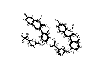 Cc1cc2c(cn1)cc(-c1cc(Nc3nnc(C(C)(C)C)o3)ccc1C)c(=O)n2C.Cc1cc2c(cn1)cc(-c1cc(Nc3nnc(C(C)C)o3)ccc1C)c(=O)n2C